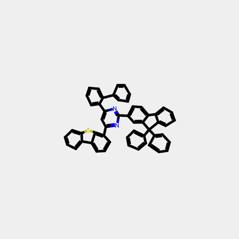 c1ccc(-c2ccccc2-c2cc(-c3cccc4c3sc3ccccc34)nc(-c3ccc4c(c3)C(c3ccccc3)(c3ccccc3)c3ccccc3-4)n2)cc1